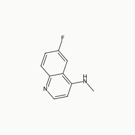 CNc1ccnc2ccc(F)cc12